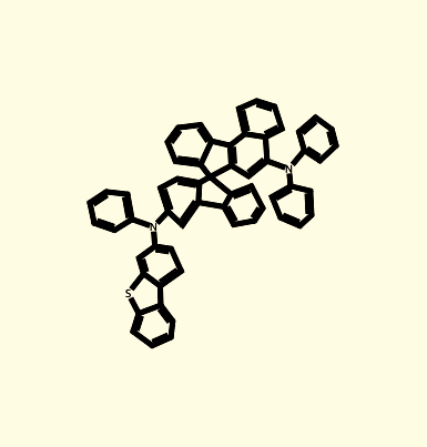 c1ccc(N(c2ccc3c(c2)-c2ccccc2C32c3ccccc3-c3c2cc(N(c2ccccc2)c2ccccc2)c2ccccc32)c2ccc3c(c2)sc2ccccc23)cc1